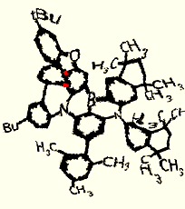 Cc1cc(C)c(-c2cc3c4c(c2)N(c2ccc(C(C)(C)C)cc2-c2ccccc2)c2cc5c(cc2B4c2cc4c(cc2N3c2ccc3c(c2)C(C)(C)CCC3(C)C)C(C)(C)CCC4(C)C)oc2cc(C(C)(C)C)ccc25)c(C)c1